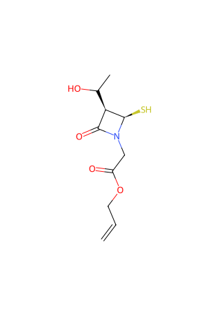 C=CCOC(=O)CN1C(=O)[C@@H](C(C)O)[C@H]1S